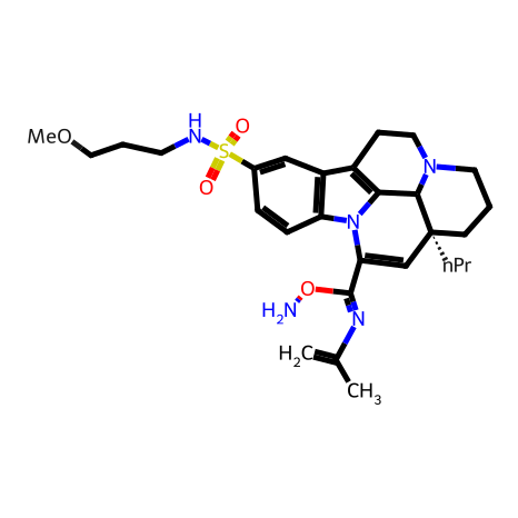 C=C(C)/N=C(\ON)C1=C[C@]2(CCC)CCCN3CCc4c(n1c1ccc(S(=O)(=O)NCCCOC)cc41)C32